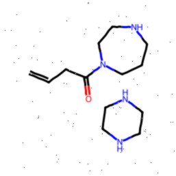 C1CNCCN1.C=CCC(=O)N1CCCNCC1